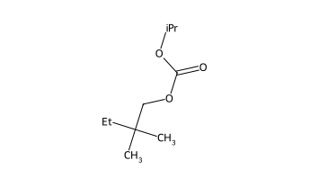 CCC(C)(C)COC(=O)OC(C)C